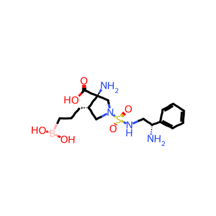 N[C@H](CNS(=O)(=O)N1C[C@H](CCCB(O)O)[C@](N)(C(=O)O)C1)c1ccccc1